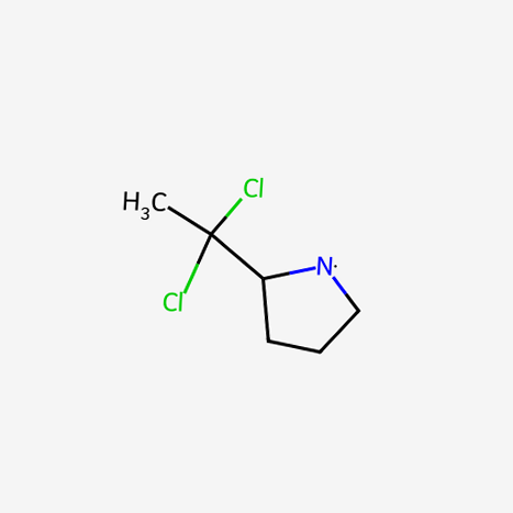 CC(Cl)(Cl)C1CCC[N]1